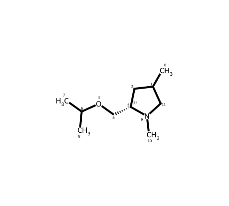 CC1C[C@@H](COC(C)C)N(C)C1